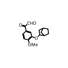 COc1ccc(C(=O)C=O)cc1OC1CC2CCC1C2